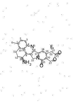 Cc1ccc2nc3c(c4c2c1CC[C@@H]4N)Cn1c-3cc2c(c1=O)COC(=O)[C@H]2F